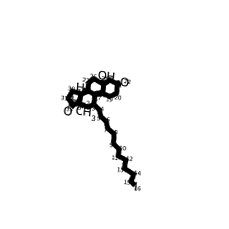 C[C@]12CC(CCCCCCCCCCCCI)C3=C4CCC(=O)CC4(O)CC[C@H]3[C@@H]1CCC2=O